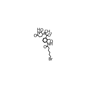 CN(C(=O)c1cccc(NC(=O)CCCCCBr)c1C=O)C1CCC(=O)NC1=O